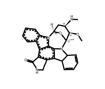 CN[C@@H]1C[C@H]2O[C@@](C)([C@@H]1OC)N1c3c(c4c(c5c6ccccc6n2c35)C(=O)NC4)C2C=CC=CC21